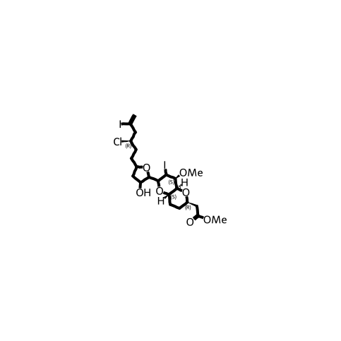 C=C(I)C[C@H](Cl)CCC1CC(O)C(C2O[C@H]3CC[C@H](CC(=O)OC)O[C@@H]3[C@H](OC)C2I)O1